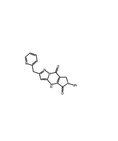 CC(C)N1Cc2c([nH]c3cc(Cc4ccccn4)nn3c2=O)C1=O